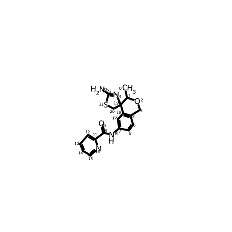 CC1OCc2ccc(NC(=O)c3ccccn3)cc2C12CSC(N)=N2